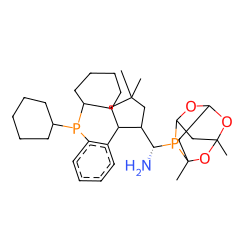 CC1(C)CC(c2ccccc2P(C2CCCCC2)C2CCCCC2)C([C@@H](N)P2C3CC4(C)OC(CC2(C)O4)O3)C1